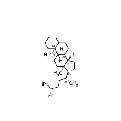 CC[C@@H](CC[C@@H](C)[C@H]1CC[C@H]2[C@@H]3CCC4CCCC[C@]4(C)[C@H]3CC[C@]12C)C(C)C